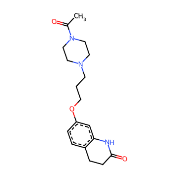 CC(=O)N1CCN(CCCOc2ccc3c(c2)NC(=O)CC3)CC1